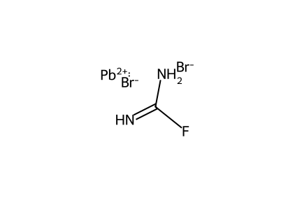 N=C(N)F.[Br-].[Br-].[Pb+2]